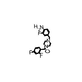 Nc1ccc(CN2CCN(C(=O)c3ccc(F)cc3F)CC2)cc1F